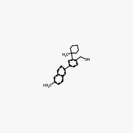 CC1(c2cc(-c3ccc4cc(C(=O)O)ccc4c3)ccc2CO)CCCCC1